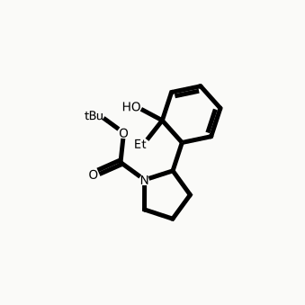 CCC1(O)C=CC=CC1C1CCCN1C(=O)OC(C)(C)C